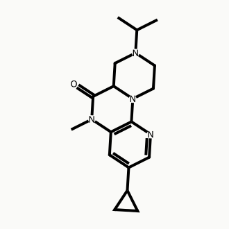 CC(C)N1CCN2c3ncc(C4CC4)cc3N(C)C(=O)C2C1